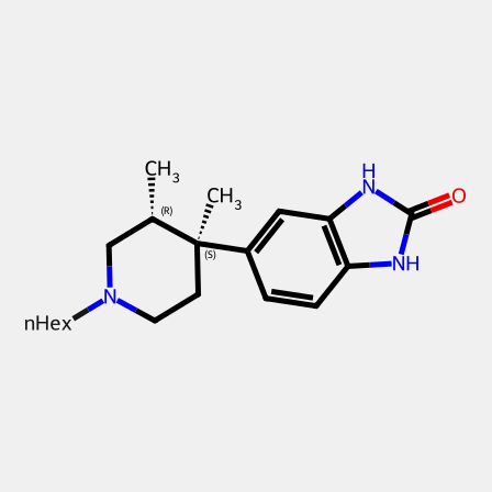 CCCCCCN1CC[C@](C)(c2ccc3[nH]c(=O)[nH]c3c2)[C@@H](C)C1